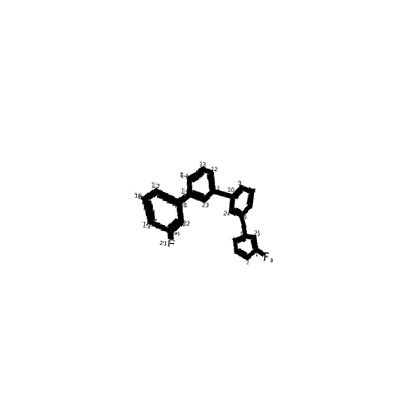 Fc1cccc(-c2cccc(-c3cccc(-c4cccc(F)c4)c3)c2)c1